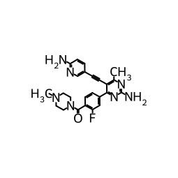 Cc1nc(N)nc(-c2ccc(C(=O)N3CCN(C)CC3)c(F)c2)c1C#Cc1ccc(N)nc1